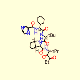 CCC[C@H](NC(=O)C1[C@H]2CCC[C@H]2CN1C(=O)[C@@H](NC(=O)[C@@H](NC(=O)c1cnccn1)C1CCCCC1)C(C)(C)C)C(=O)C(=O)CC